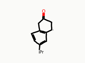 CC(C)c1ccc2c(c1)[C]CC(=O)C2